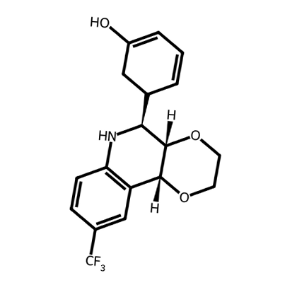 OC1=CC=CC([C@@H]2Nc3ccc(C(F)(F)F)cc3[C@H]3OCCO[C@H]32)C1